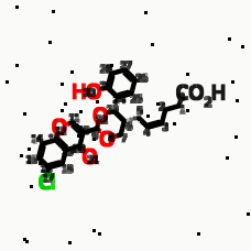 O=C(O)CC/C=C\C[C@@H]1COC(c2coc3ccc(Cl)cc3c2=O)O[C@@H]1c1ccccc1O